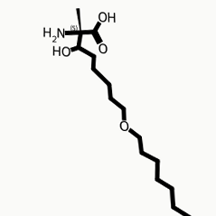 CCCCCCCOCCCCCC(O)[C@](C)(N)C(=O)O